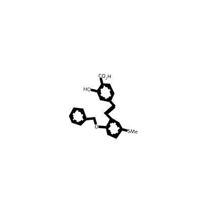 CSc1ccc(OCc2ccccc2)c(C=Cc2ccc(C(=O)O)c(O)c2)c1